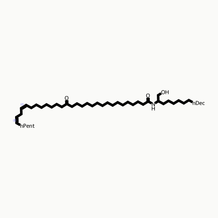 CCCCC/C=C\C/C=C\CCCCCCCC(=O)CCCCCCCCCCCCCCCC(=O)NC(CO)CCCCCCCCCCCCCCCC